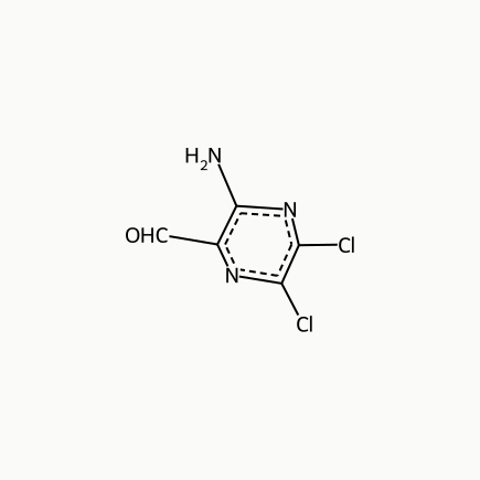 Nc1nc(Cl)c(Cl)nc1C=O